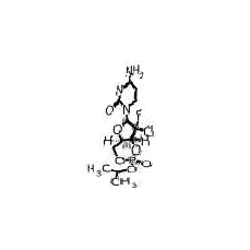 CC(C)O[P@]1(=O)OC[C@H]2O[C@@H](n3ccc(N)nc3=O)[C@](F)(Cl)[C@@H]2O1